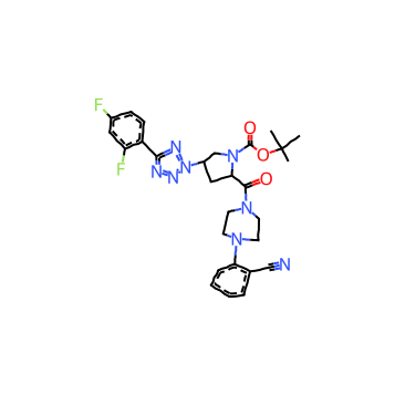 CC(C)(C)OC(=O)N1CC(n2nnc(-c3ccc(F)cc3F)n2)CC1C(=O)N1CCN(c2ccccc2C#N)CC1